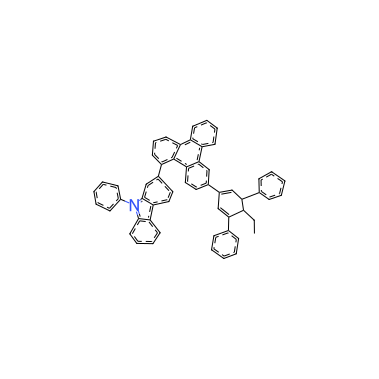 CCC1C(c2ccccc2)=CC(c2ccc3c(c2)c2ccccc2c2cccc(-c4ccc5c6ccccc6n(-c6ccccc6)c5c4)c23)=CC1c1ccccc1